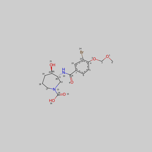 COCOc1ccc(C(=O)N[C@@H]2CN(C(=O)O)CCC[C@H]2O)cc1Br